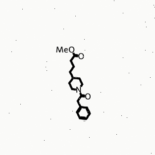 COC(=O)CCCC1CCN(C(=O)Cc2ccccc2)CC1